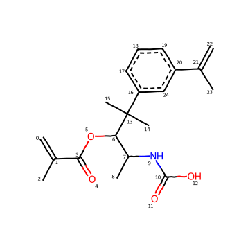 C=C(C)C(=O)OC(C(C)NC(=O)O)C(C)(C)c1cccc(C(=C)C)c1